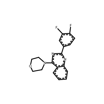 Fc1ccc(-c2nc(N3CCOCC3)c3ccccc3n2)cc1F